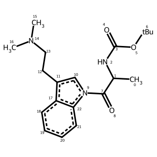 CC(NC(=O)OC(C)(C)C)C(=O)n1cc(CCN(C)C)c2ccccc21